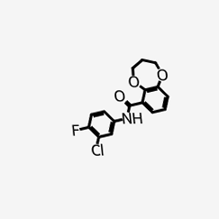 O=C(Nc1ccc(F)c(Cl)c1)c1cccc2c1OCCCO2